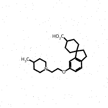 CC1CCN(CCOc2ccc3c(c2)C2(CC3)CCC(C(=O)O)CC2)CC1